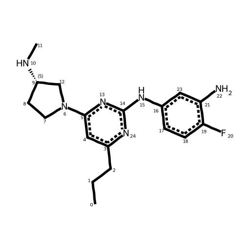 CCCc1cc(N2CC[C@H](NC)C2)nc(Nc2ccc(F)c(N)c2)n1